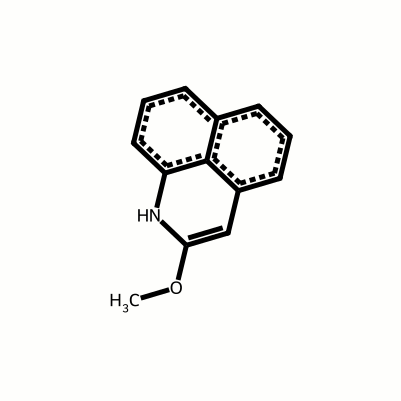 COC1=Cc2cccc3cccc(c23)N1